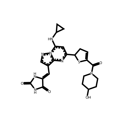 O=C1NC(=O)/C(=C/c2cnn3c(NC4CC4)cc(C4CC=C(C(=O)N5CCC(O)CC5)S4)nc23)N1